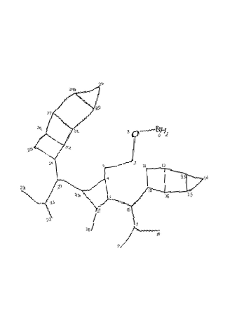 BOCCC1C(C(C(C)C)C2CC3C4CC4C32)C(C)C1C(C(C)C)C1CC2C3C4CC4C3C12